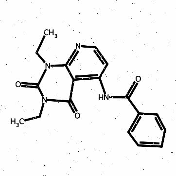 CCn1c(=O)c2c(NC(=O)c3ccccc3)ccnc2n(CC)c1=O